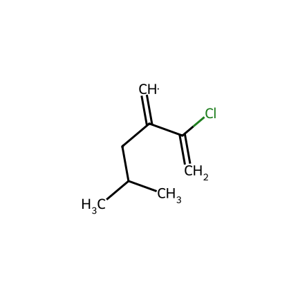 [CH]=C(CC(C)C)C(=C)Cl